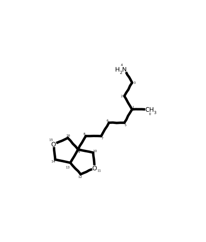 CC(CCN)CCCCC12COCC1COC2